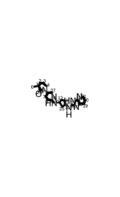 Cc1cccn(-c2ccc(N[C@H]3CC[C@H](Nc4nc5cccnc5[nH]4)C3)nc2)c1=O